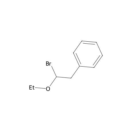 CCOC(Br)Cc1ccccc1